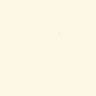 C=C(C)CN1C(=O)C(C)SC1=NN=C1SC(OP(=O)(O)OC)C(=O)N1C.OCCN(CCO)CCO